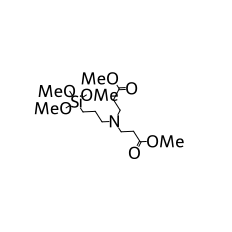 COC(=O)CCN(CCC[Si](OC)(OC)OC)CCC(=O)OC